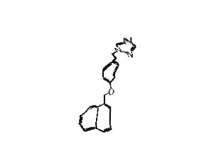 c1ccc2c(COc3ccc(Cn4cncn4)cc3)cccc2c1